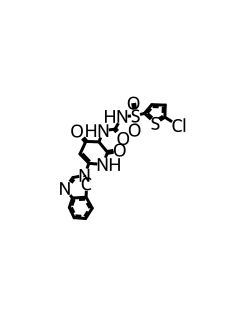 O=C(NC1C(=O)C=C(N2C=Nc3ccccc3C2)NC1=O)NS(=O)(=O)c1ccc(Cl)s1